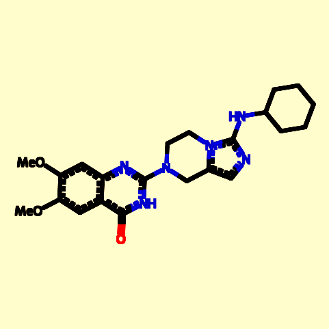 COc1cc2nc(N3CCn4c(cnc4NC4CCCCC4)C3)[nH]c(=O)c2cc1OC